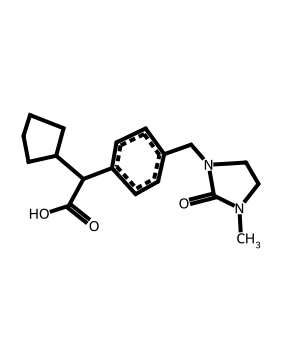 CN1CCN(Cc2ccc(C(C(=O)O)C3CCCC3)cc2)C1=O